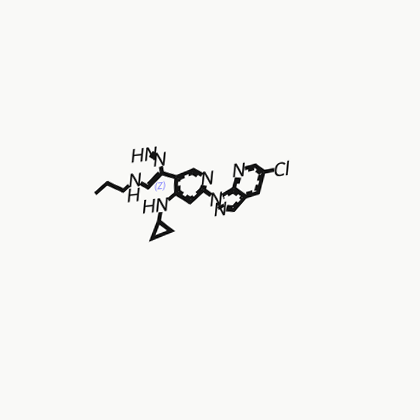 CCCN/C=C(\N=N)c1cnc(-n2ncc3cc(Cl)cnc32)cc1NC1CC1